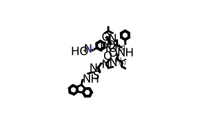 CC[C@H](C)[C@@H](C(=O)N[C@@H](Cc1ccccc1)[C@H](O)CN(CC(C)C)S(=O)(=O)c1ccc(/C=N/O)cc1)N1CCN(Cc2csc(CNCC3c4ccccc4-c4ccccc43)n2)C1=O